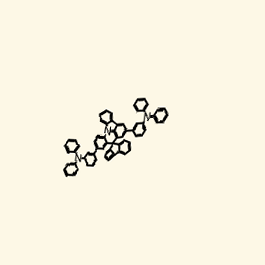 c1ccc(N(c2ccccc2)c2cccc(-c3ccc4c(c3)C3(c5ccccc5-c5ccccc53)c3cc(-c5cccc(N(c6ccccc6)c6ccccc6)c5)cc5c6ccccc6n-4c35)c2)cc1